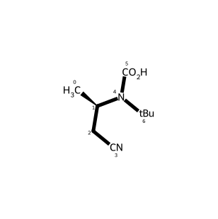 C[C@H](CC#N)N(C(=O)O)C(C)(C)C